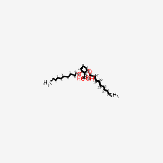 CCCCCCCCCCOc1cccc(OCCCCCCCCCC)c1B(O)O